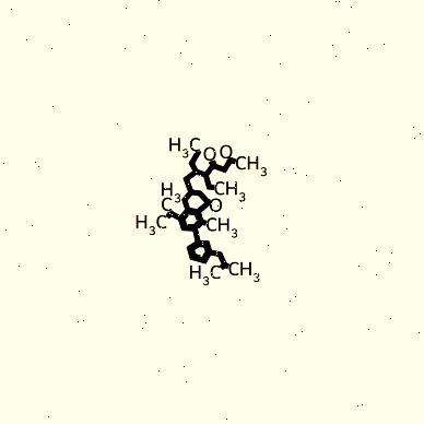 CCCC(CC1CC(=O)c2c(C)c(-c3cccc(CC(C)C)c3)cc(C(C)C)c2C1)C(CC)C(=O)CC(C)=O